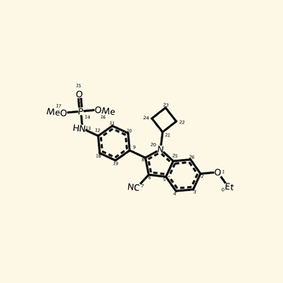 CCOc1ccc2c(C#N)c(-c3ccc(NP(=O)(OC)OC)cc3)n(C3CCC3)c2c1